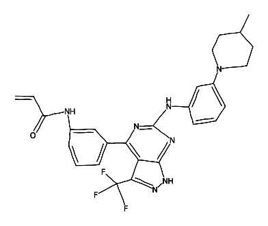 C=CC(=O)Nc1cccc(-c2nc(Nc3cccc(N4CCC(C)CC4)c3)nc3[nH]nc(C(F)(F)F)c23)c1